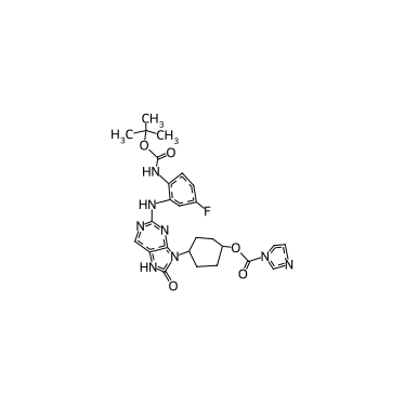 CC(C)(C)OC(=O)Nc1ccc(F)cc1Nc1ncc2[nH]c(=O)n(C3CCC(OC(=O)n4ccnc4)CC3)c2n1